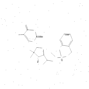 O=c1[nH]c(=O)n([C@@H]2O[C@@](COP3(=O)OCc4ccccc4O3)(C(F)F)[C@@H](O)C2(F)F)cc1Cl